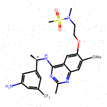 COc1cc2nc(C)nc(N[C@H](C)c3cc(N)cc(C(F)(F)F)c3)c2cc1OCCN(C)S(C)(=O)=O